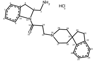 Cl.NCC1Cc2ccccc2N1C(=O)CCN1CCC2(CCc3ccccc32)CC1